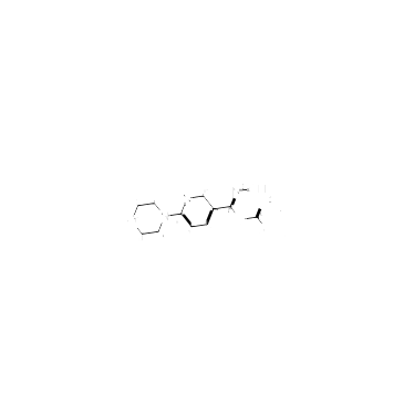 C=C(C)O/C(=N\C)C1=CC=C(N2CCOCC2)NC1